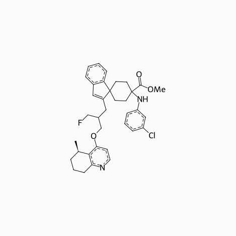 COC(=O)C1(Nc2cccc(Cl)c2)CCC2(CC1)C(CC(CF)COc1ccnc3c1[C@H](C)CCC3)=Cc1ccccc12